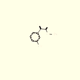 Cc1cccc(C(=O)C(=O)OC(C)(C)C)c1